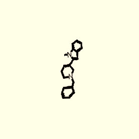 Cn1c(C2=CCCN(Cc3ccccc3)C2)cc2ccccc21